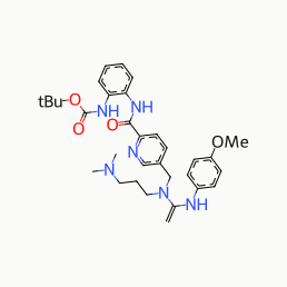 C=C(Nc1ccc(OC)cc1)N(CCCN(C)C)Cc1ccc(C(=O)Nc2ccccc2NC(=O)OC(C)(C)C)nc1